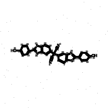 N#CC(C#N)(c1ccc2sc(-c3ccc(O)cc3)nc2c1)c1ccc2sc(-c3ccc(O)cc3)nc2c1